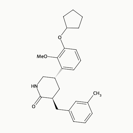 COc1c(OC2CCCC2)cccc1[C@H]1CNC(=O)[C@H](Cc2cccc(C)c2)C1